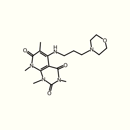 Cc1c(NCCCN2CCOCC2)c2c(=O)n(C)c(=O)n(C)c2n(C)c1=O